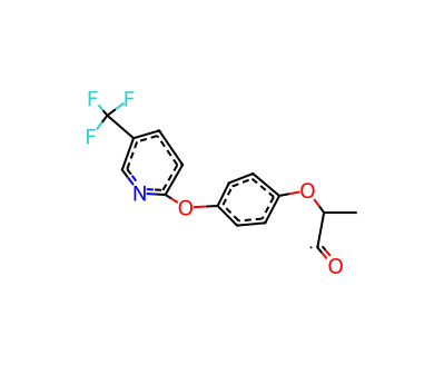 CC([C]=O)Oc1ccc(Oc2ccc(C(F)(F)F)cn2)cc1